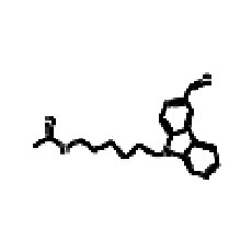 CC(=O)OCCCCCCn1c2ccccc2c2cc(C=O)ccc21